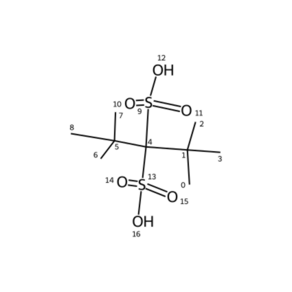 CC(C)(C)C(C(C)(C)C)(S(=O)(=O)O)S(=O)(=O)O